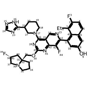 CCc1c(F)ccc2cc(O)cc(-c3ncc4c(N5CCCC(c6ncn[nH]6)C5)nc(OC[C@@]56CCCN5C[C@H](F)C6)nc4c3F)c12